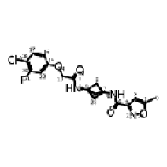 Cc1cc(C(=O)NC23CC(NC(=O)COc4ccc(Cl)c(F)c4)(C2)C3)no1